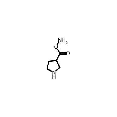 NOC(=O)C1CCNC1